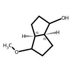 COC1CC[C@@H]2C(O)CC[C@H]12